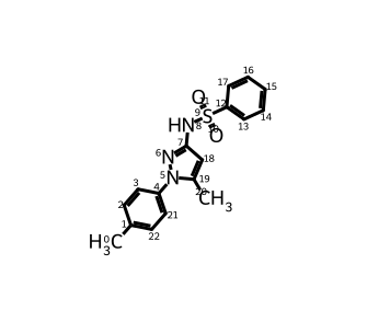 Cc1ccc(-n2nc(NS(=O)(=O)c3ccccc3)cc2C)cc1